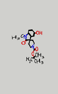 CN1C(=O)C2(CCN(C(=O)OC(C)(C)C)CC2)c2cc(O)ccc21